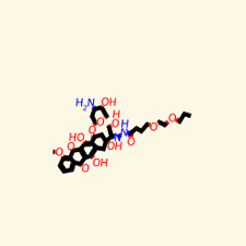 CCCOCCOCCCC(=O)NN=C(CO)[C@]1(O)Cc2c(O)c3c(c(O)c2[C@@H](OC2CC(N)C(O)CO2)C1)C(=O)c1c(OC)cccc1C3=O